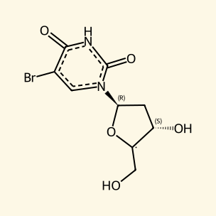 O=c1[nH]c(=O)n([C@H]2C[C@H](O)[C](CO)O2)cc1Br